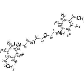 C=Cc1c(F)c(F)c(NCCOCCOCCNc2c(F)c(F)c(C=C)c(F)c2F)c(F)c1F